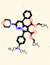 CCOC(=O)c1c(C(=O)OCC)c2c(-c3ccccc3)cc(N3CCOCC3)nn2c1-c1ccc(N(C)C)cc1